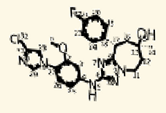 COc1cc(Nc2nc3n(n2)CC[C@](C)(O)C[C@H]3c2ccc(F)cc2)ccc1-n1cnc(Cl)c1